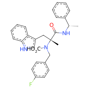 C[C@H](NC(=O)[C@@](C)(Cc1c[nH]c2ccccc12)N(Cc1ccc(F)cc1)C(=O)O)c1ccccc1